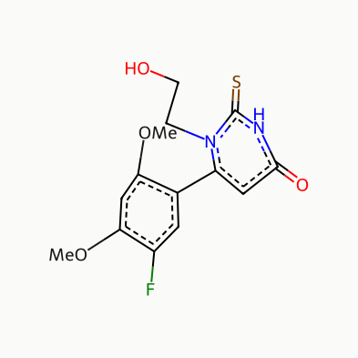 COc1cc(OC)c(-c2cc(=O)[nH]c(=S)n2CCO)cc1F